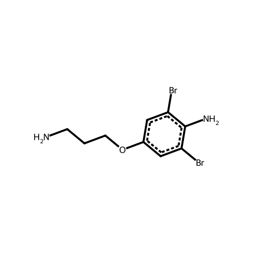 NCCCOc1cc(Br)c(N)c(Br)c1